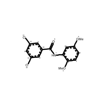 COc1ccc(OC)c(NC(=O)c2cc(Cl)cc(Cl)c2)c1